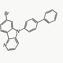 Brc1ccc2c3ncccc3n(-c3ccc(-c4ccccc4)cc3)c2c1